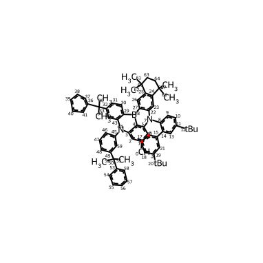 Cc1cc2c3c(c1)N(c1ccc(C(C)(C)C)cc1-c1cccc(C(C)(C)C)c1)c1cc4c(cc1B3c1ccc(C(C)(C)c3ccccc3)cc1N2c1cccc(C(C)(C)c2ccccc2)c1)C(C)(C)CCC4(C)C